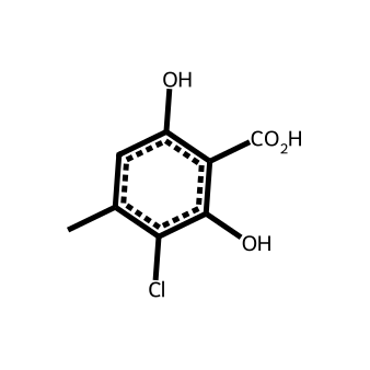 Cc1cc(O)c(C(=O)O)c(O)c1Cl